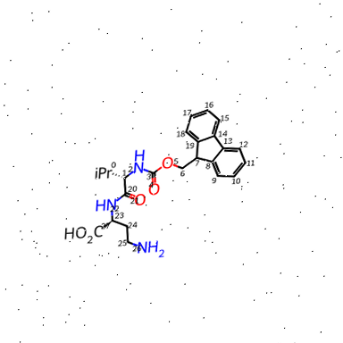 CC(C)[C@H](NC(=O)OCC1c2ccccc2-c2ccccc21)C(=O)N[C@@H](CCN)C(=O)O